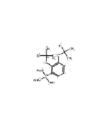 CCC(C)(C)Oc1cccc([Si](OC)(OC)OC)c1OC(C)(C)CC